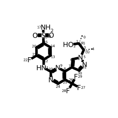 C[C@@H](O)[C@H](C)n1cc(-c2nc(Nc3ccc(S(N)(=O)=O)cc3F)ncc2C(F)(F)F)cn1